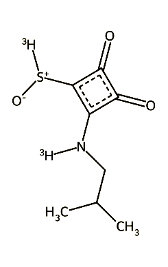 [3H]N(CC(C)C)c1c([S+]([3H])[O-])c(=O)c1=O